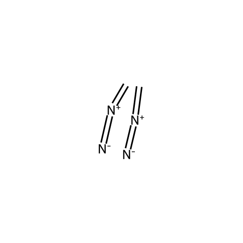 C=[N+]=[N-].C=[N+]=[N-]